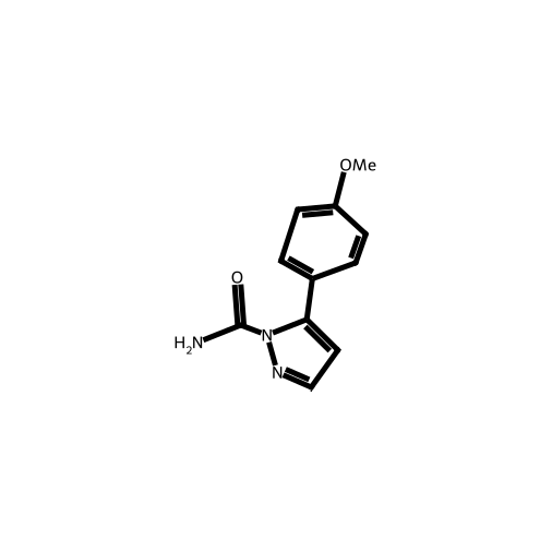 COc1ccc(-c2c[c]nn2C(N)=O)cc1